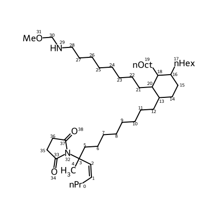 CCC/C=C\C(C)(CCCCCCCCC1CCC(CCCCCC)C(CCCCCCCC)C1CCCCCCCCNCOC)N1C(=O)CCC1=O